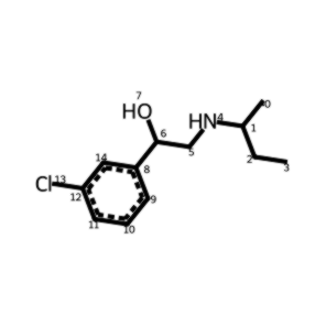 [CH2]C(CC)NCC(O)c1cccc(Cl)c1